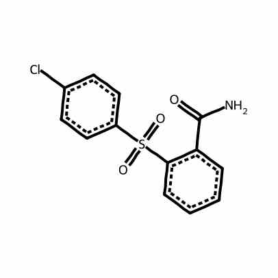 NC(=O)c1ccccc1S(=O)(=O)c1ccc(Cl)cc1